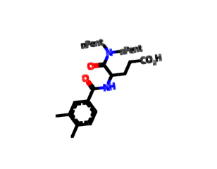 CCCCCN(CCCCC)C(=O)C(CCC(=O)O)NC(=O)c1ccc(C)c(C)c1